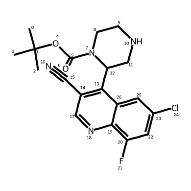 CC(C)(C)OC(=O)N1CCNCC1c1c(C#N)cnc2c(F)cc(Cl)cc12